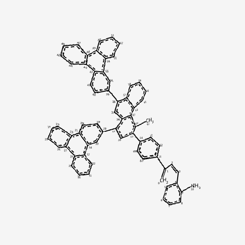 C=C(/C=C\c1ccccc1N)c1ccc(-c2cc(-c3ccc4c5ccccc5c5ccccc5c4c3)c3cc(-c4ccc5c6ccccc6c6ccccc6c5c4)c4ccccc4c3c2C)cc1